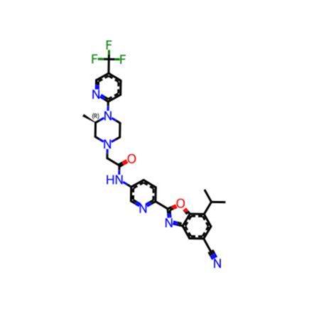 CC(C)c1cc(C#N)cc2nc(-c3ccc(NC(=O)CN4CCN(c5ccc(C(F)(F)F)cn5)[C@H](C)C4)cn3)oc12